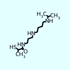 CC(C)NCCCCNCCCNC(=O)C(C)S